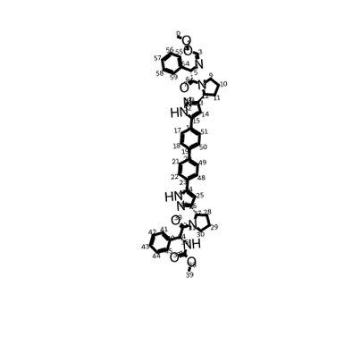 COO/C=N\[C@H](C(=O)N1CCC[C@H]1c1cc(-c2ccc(-c3ccc(-c4cc([C@@H]5CCCN5C(=O)[C@H](NC(=O)OC)c5ccccc5)n[nH]4)cc3)cc2)[nH]n1)c1ccccc1